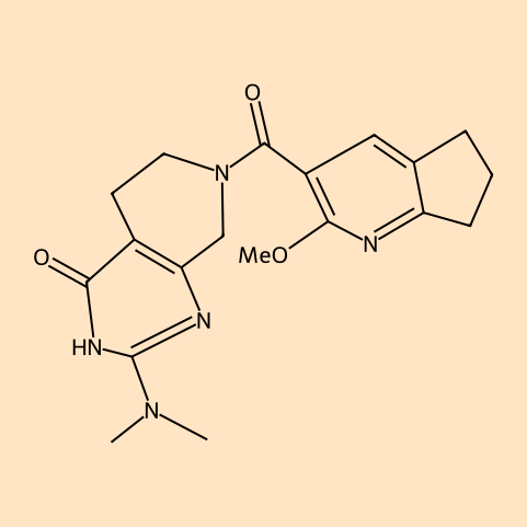 COc1nc2c(cc1C(=O)N1CCc3c(nc(N(C)C)[nH]c3=O)C1)CCC2